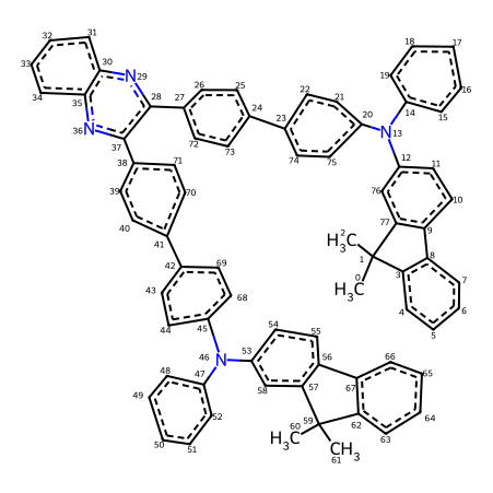 CC1(C)c2ccccc2-c2ccc(N(c3ccccc3)c3ccc(-c4ccc(-c5nc6ccccc6nc5-c5ccc(-c6ccc(N(c7ccccc7)c7ccc8c(c7)C(C)(C)c7ccccc7-8)cc6)cc5)cc4)cc3)cc21